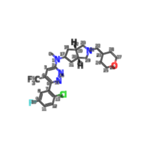 CN(c1cc(C(F)(F)F)c(-c2cc(F)ccc2Cl)nn1)C1C[C@@H]2CN(CC3CCOCC3)C[C@@H]2C1